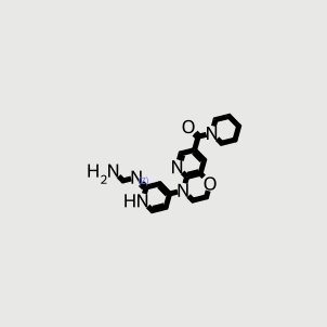 NC/N=c1/cc(N2CCOc3cc(C(=O)N4CCCCC4)cnc32)cc[nH]1